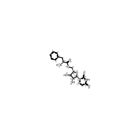 N[C@@H](Cc1ccccc1)C(=O)OC[C@H]1O[C@@H](n2ncc(=O)[nH]c2=O)[C@@H](O)C1O